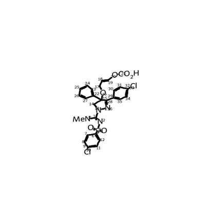 CN/C(=N\S(=O)(=O)c1ccc(Cl)cc1)N1CC(OC/C=C/OC(=O)O)(c2ccccc2)C(c2ccc(Cl)cc2)=N1